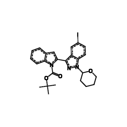 CC(C)(C)OC(=O)n1c(-c2nn(C3CCCCO3)c3ccc(I)cc23)cc2ccccc21